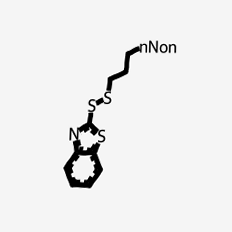 CCCCCCCCCCCCSSc1nc2ccccc2s1